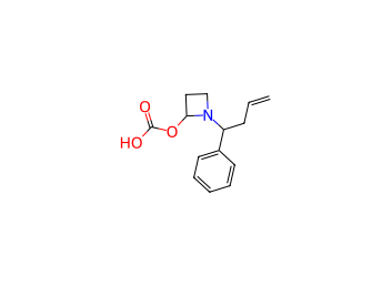 C=CCC(c1ccccc1)N1CCC1OC(=O)O